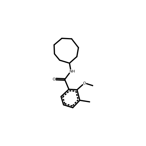 COc1c(C)cccc1C(=O)NC1CCCCCCC1